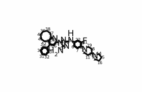 Nc1nc(Nc2ccc(N3CCC(N4CCCC4)CC3)c(F)c2)nn1-c1cc(-c2ccccc2)c2c(n1)CCCCCC2